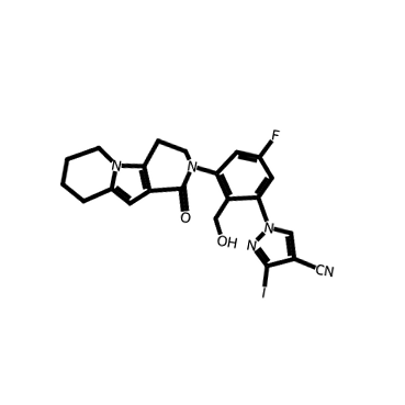 N#Cc1cn(-c2cc(F)cc(N3CCc4c(cc5n4CCCC5)C3=O)c2CO)nc1I